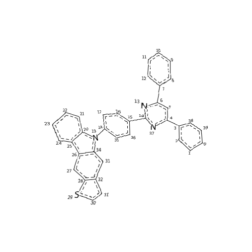 c1ccc(-c2cc(-c3ccccc3)nc(-c3ccc(-n4c5ccccc5c5cc6sccc6cc54)cc3)n2)cc1